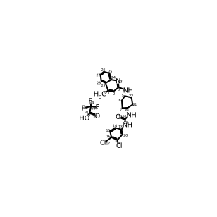 Cc1cc(N[C@H]2CC[C@@H](NC(=O)Nc3ccc(Cl)c(Cl)c3)CC2)nc2ccccc12.O=C(O)C(F)(F)F